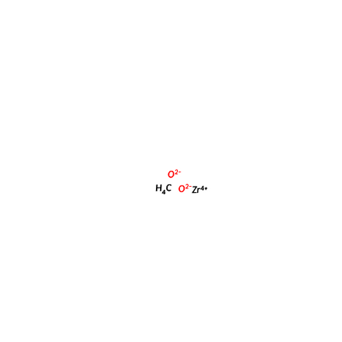 C.[O-2].[O-2].[Zr+4]